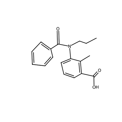 CCCN(C(=O)c1ccccc1)c1cccc(C(=O)O)c1C